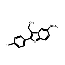 CC(=O)Nc1ccc2nc(-c3ccc(Cl)cc3)c(CO)n2c1